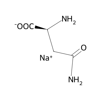 NC(=O)C[C@H](N)C(=O)[O-].[Na+]